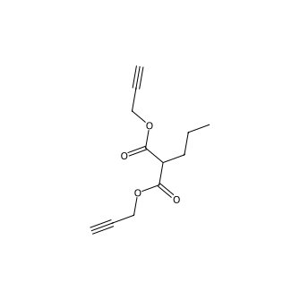 C#CCOC(=O)C(CCC)C(=O)OCC#C